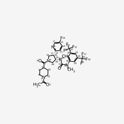 CC(=O)N1CCC(C(=O)N2C[C@H](c3ccc(F)cn3)[C@H](N(C)C(=O)N(C)c3cc(C(F)(F)F)cc(C(F)(F)F)c3)C2)CC1